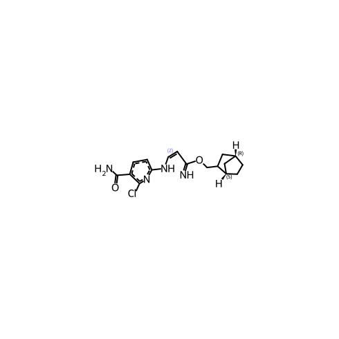 N=C(/C=C\Nc1ccc(C(N)=O)c(Cl)n1)OCC1C[C@@H]2CC[C@H]1C2